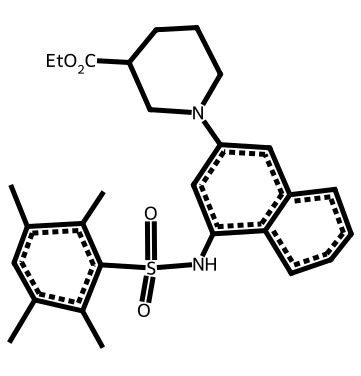 CCOC(=O)C1CCCN(c2cc(NS(=O)(=O)c3c(C)c(C)cc(C)c3C)c3ccccc3c2)C1